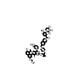 CCc1c(F)ccc2cc(OCOC)cc(-c3ncc4c(N5CCC[C@@](C)(O)C5)nc(OCC5(CN6CCN(CC7CCC8(CC7)CCN(C(=O)c7ccc(OC)c(N9CCC(=O)NC9=O)c7)CC8)CC6)CC5)nc4c3F)c12